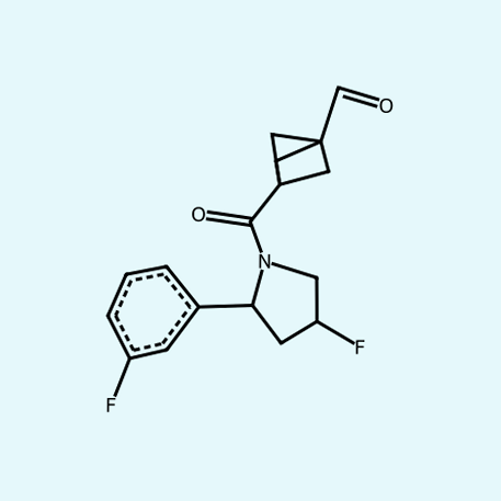 O=CC12CC(C(=O)N3CC(F)CC3c3cccc(F)c3)(C1)C2